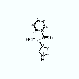 Cl.O=C(OC1CCNC1)c1ccccc1